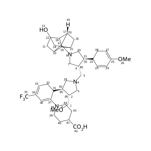 COC[C@H]1CN(C[C@@H]2CN(C3C4CC5(O)CC6C[C@H]3C5C64)C[C@H]2C2C=CC(OC)=CC2)C[C@@H]1C1CC=C(C(F)(F)F)C=C1N1CCC(C(=O)O)CC1